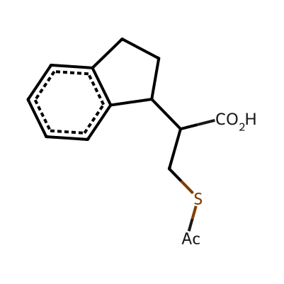 CC(=O)SCC(C(=O)O)C1CCc2ccccc21